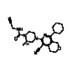 C#CCNC(=O)N1CCN(c2nc(C3CCCCC3)c3c(c2C#N)CCOC3)C[C@H]1C